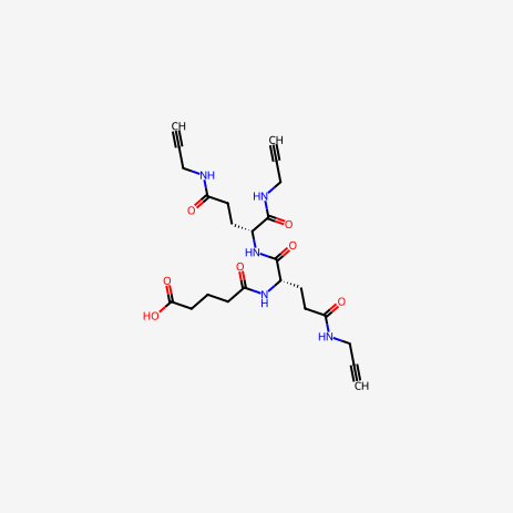 C#CCNC(=O)CC[C@H](NC(=O)CCCC(=O)O)C(=O)N[C@H](CCC(=O)NCC#C)C(=O)NCC#C